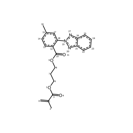 C=C(C)C(=O)OCCCOC(=O)c1ccc(C)cc1-n1nc2ccccc2n1